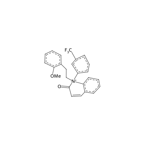 COc1ccccc1CC[N+]1(c2cccc(C(F)(F)F)c2)C(=O)C=Cc2ccccc21